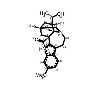 COC(=O)[C@@]12C[C@@H]3C[C@H]([C@H](C)O)[C@@H]1N(CCc1c2[nH]c2cc(OC)ccc12)C3